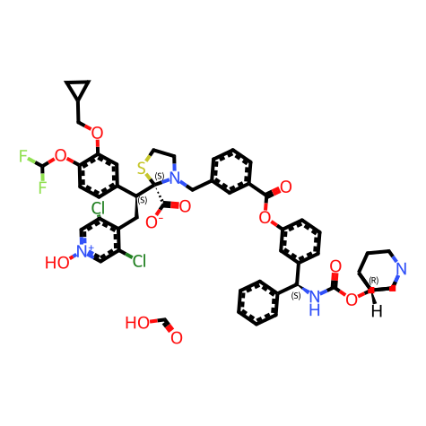 O=C(N[C@@H](c1ccccc1)c1cccc(OC(=O)c2cccc(CN3CCS[C@]3(C(=O)[O-])[C@@H](Cc3c(Cl)c[n+](O)cc3Cl)c3ccc(OC(F)F)c(OCC4CC4)c3)c2)c1)O[C@H]1CN2CCC1CC2.O=CO